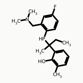 CCC(C)(Pc1ccc(F)cc1CN(C)C)c1cccc(C)c1O